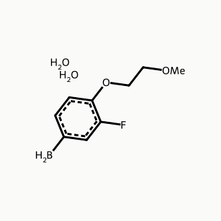 Bc1ccc(OCCOC)c(F)c1.O.O